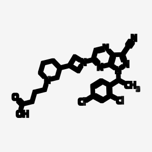 CC(c1ccc(Cl)cc1Cl)n1nc(C#N)c2ncc(N3CC(C4CCCN(CCCC(=O)O)C4)C3)nc21